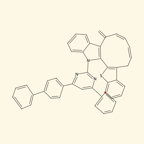 C=C1/C=C\C=C/Cc2c(sc3ccccc23)-c2c1c1ccccc1n2-c1nc(-c2ccccc2)cc(-c2ccc(-c3ccccc3)cc2)n1